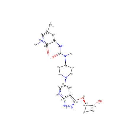 CN(C(=O)Nc1cc(C(F)(F)F)cn(C)c1=O)C1CCN(c2cnc3[nH]nc(O[C@@H]4CC[C@H]4O)c3c2)CC1